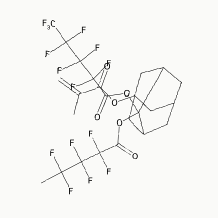 C=C(C)C(=O)OC12CC3CC(C1)C(OC(=O)C(F)(F)C(F)(F)C(C)(F)F)(OC(=O)C(F)(F)C(F)(F)C(F)(F)C(F)(F)F)C(C3)C2